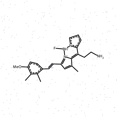 COc1ccc(/C=C/C2=[N+]3[BH-](F)n4cccc4C(CCN)=C3C(C)=C2)c(C)c1C